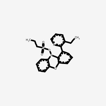 CCCS(=O)(=O)ON1c2ccccc2Oc2cccc(-c3ncccc3CC)c21